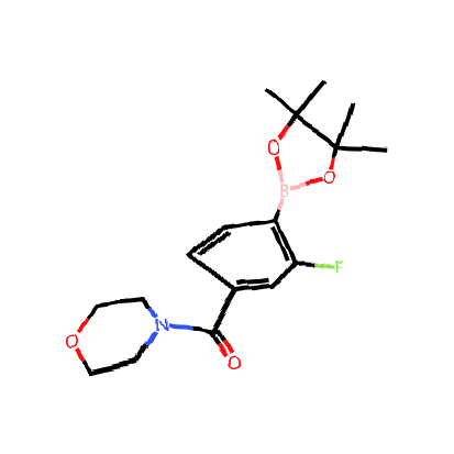 CC1(C)OB(c2ccc(C(=O)N3CCOCC3)cc2F)OC1(C)C